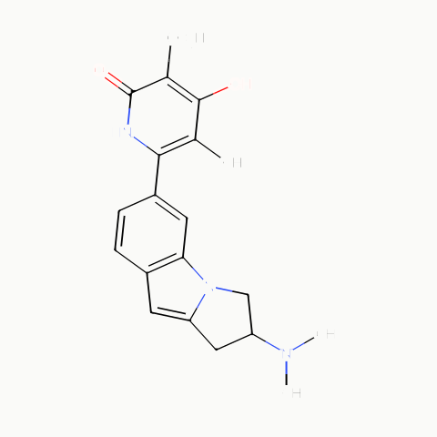 Cc1c(-c2ccc3cc4n(c3c2)CC(N(C)C)C4)[nH]c(=O)c(C(=O)O)c1O